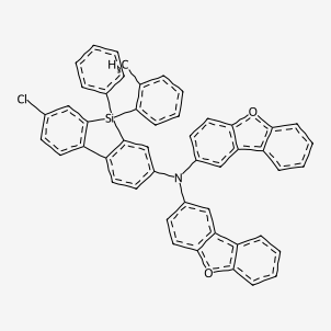 Cc1ccccc1[Si]1(c2ccccc2)c2cc(Cl)ccc2-c2ccc(N(c3ccc4oc5ccccc5c4c3)c3ccc4oc5ccccc5c4c3)cc21